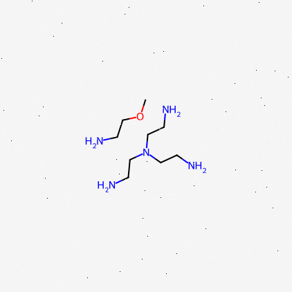 COCCN.NCCN(CCN)CCN